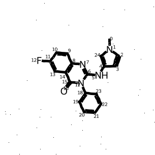 Cn1c#cc(Nc2nc3ccc(F)cc3c(=O)n2-c2ccccc2)c1